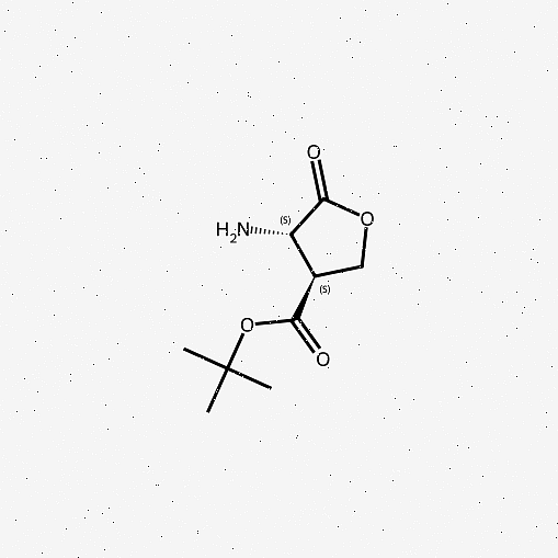 CC(C)(C)OC(=O)[C@@H]1COC(=O)[C@H]1N